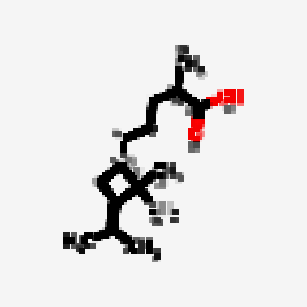 CC(C)=C1C[C@H](CCC[C@@H](C)C(=O)O)C1(C)C